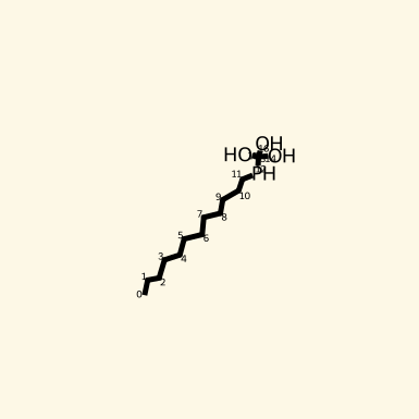 CCCCCCCCCCCCPC(O)(O)O